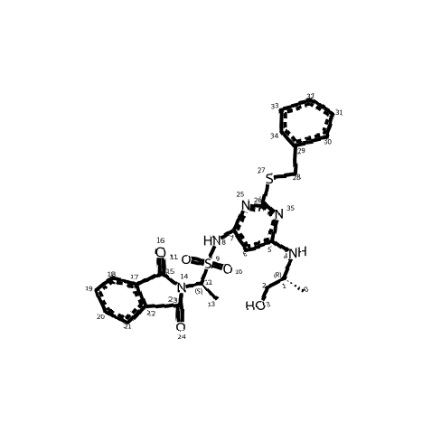 C[C@H](CO)Nc1cc(NS(=O)(=O)[C@@H](C)N2C(=O)c3ccccc3C2=O)nc(SCc2ccccc2)n1